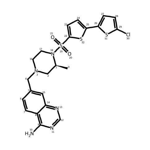 C[C@H]1CN(Cc2ccc3c(N)ncnc3c2)CCN1S(=O)(=O)c1ccc(-c2ccc(Cl)s2)s1